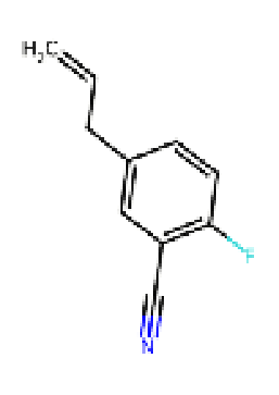 C=CCc1ccc(F)c(C#N)c1